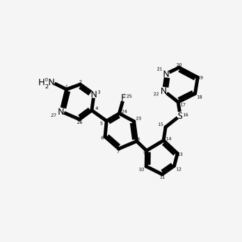 Nc1cnc(-c2ccc(-c3ccccc3CSc3cccnn3)cc2F)cn1